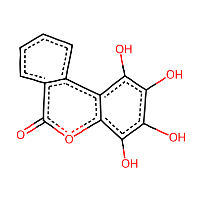 O=c1oc2c(O)c(O)c(O)c(O)c2c2ccccc12